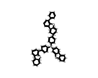 c1ccc(-c2cccc3c2oc2ccc(-c4ccc(N(c5ccc(-c6cccc7c6sc6ccccc67)cc5)c5ccc6c(c5)sc5ccccc56)cc4)cc23)cc1